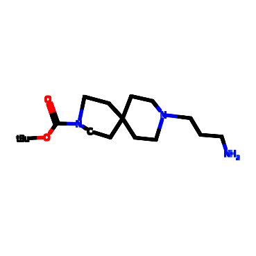 CC(C)(C)OC(=O)N1CCC2(CCN(CCCN)CC2)CC1